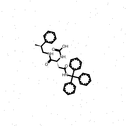 C[C@H](CNC(=O)[C@@H](CC(=O)NC(c1ccccc1)(c1ccccc1)c1ccccc1)NC(=O)O)c1ccccc1